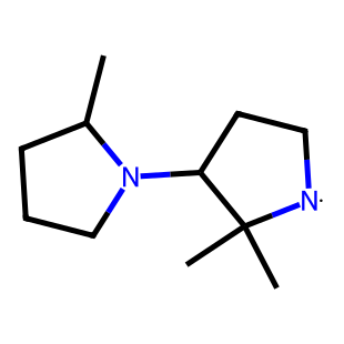 CC1CCCN1C1CC[N]C1(C)C